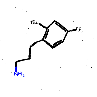 CC(C)(C)c1cc(C(F)(F)F)ccc1CCCN